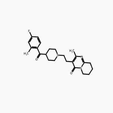 Cc1cc(F)ccc1C(=O)C1CCN(CCc2c(C)nc3n(c2=O)CCCC3)CC1